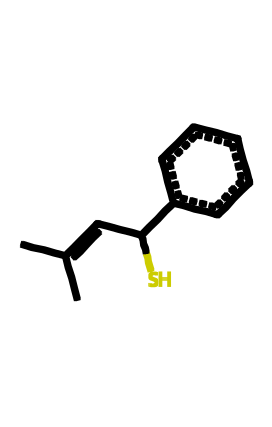 CC(C)=CC(S)c1ccccc1